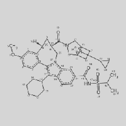 COc1ccc2c(c1)[C@@H]1C[C@]1(C(=O)N1CC34CCC3(C1)CN(C1CC1)C4)Cn1c-2c(C2CCCCC2)c2ccc(C(=O)NS(=O)(=O)C(C)C)cc21